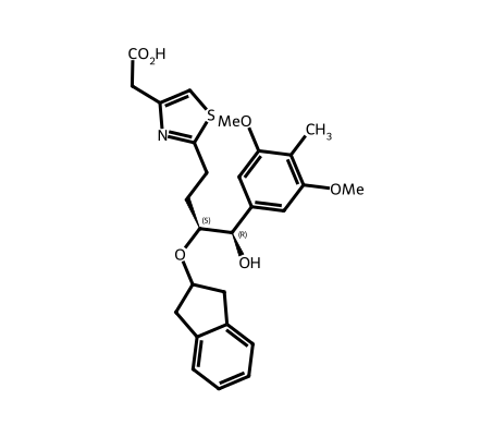 COc1cc([C@@H](O)[C@H](CCc2nc(CC(=O)O)cs2)OC2Cc3ccccc3C2)cc(OC)c1C